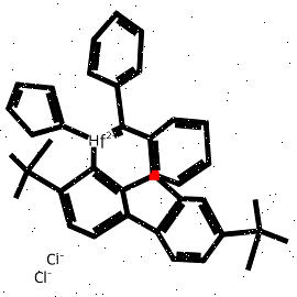 CC(C)(C)c1ccc2c(c1)Cc1c-2ccc(C(C)(C)C)[c]1[Hf+2]([C]1=CC=CC1)=[C](c1ccccc1)c1ccccc1.[Cl-].[Cl-]